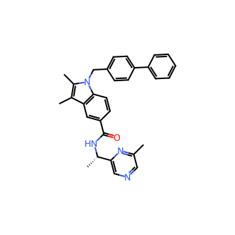 Cc1cncc([C@H](C)NC(=O)c2ccc3c(c2)c(C)c(C)n3Cc2ccc(-c3ccccc3)cc2)n1